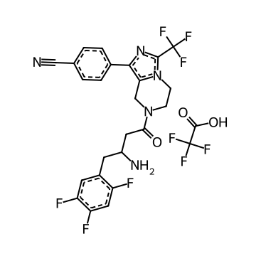 N#Cc1ccc(-c2nc(C(F)(F)F)n3c2CN(C(=O)CC(N)Cc2cc(F)c(F)cc2F)CC3)cc1.O=C(O)C(F)(F)F